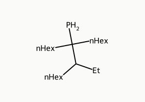 CCCCCCC(CC)C(P)(CCCCCC)CCCCCC